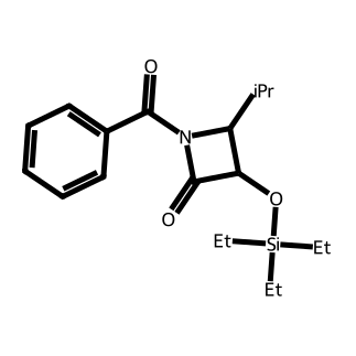 CC[Si](CC)(CC)OC1C(=O)N(C(=O)c2ccccc2)C1C(C)C